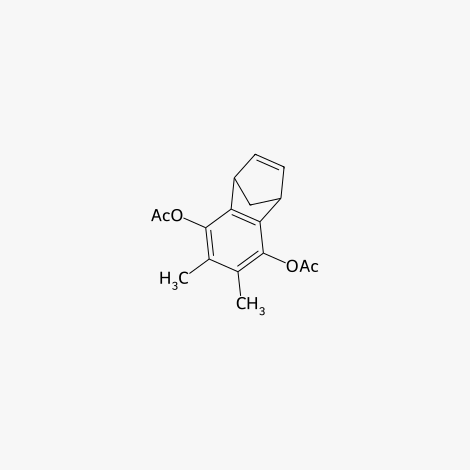 CC(=O)Oc1c(C)c(C)c(OC(C)=O)c2c1C1C=CC2C1